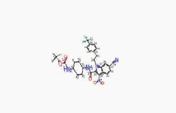 CC(C)(C)OC(=O)NC1CCC(NC(=O)c2c([N+](=O)[O-])c3ccc(C#N)cc3n2CCc2ccc(C(F)(F)F)cc2)CC1